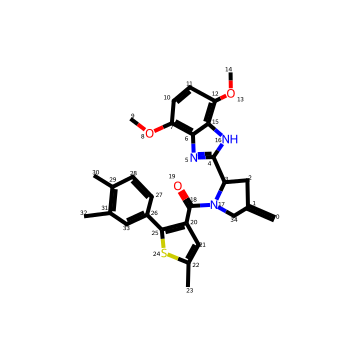 C=C1CC(c2nc3c(OC)ccc(OC)c3[nH]2)N(C(=O)c2cc(C)sc2-c2ccc(C)c(C)c2)C1